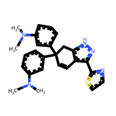 CN(C)c1cccc(C2(c3cccc(N(C)C)c3)C=Cc3c(-c4nccs4)n[nH]c3C2)c1